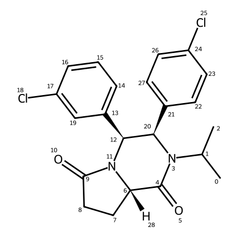 CC(C)N1C(=O)[C@@H]2CCC(=O)N2[C@@H](c2cccc(Cl)c2)[C@H]1c1ccc(Cl)cc1